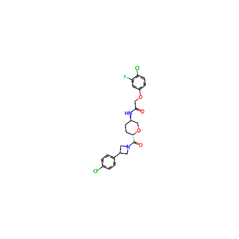 O=C(COc1ccc(Cl)c(F)c1)N[C@@H]1CC[C@@H](C(=O)N2CC(c3ccc(Cl)cc3)C2)OC1